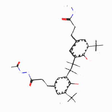 CNC(=O)CCc1cc(C(C)(C)C)c(O)c(C(C)(C)C(C)(C)c2cc(CCC(=O)NNC(C)=O)cc(C(C)(C)C)c2O)c1